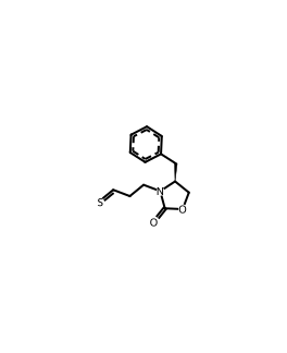 O=C1OC[C@H](Cc2ccccc2)N1CCC=S